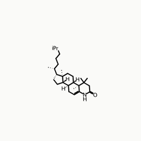 CC(C)CCC[C@@H](C)[C@H]1CC[C@H]2[C@@H]3CC=C4NC(=O)CC(C)(C)[C@]4(C)[C@H]3CC[C@]12C